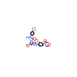 CO[C@@H]1C[C@H](C(=O)Nc2ccc(N3CCOCC3=O)cc2F)N(C(=O)Nc2ccc(Cl)cc2)C1